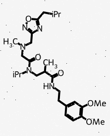 COc1ccc(CCNC(=O)C(C)CN(C(=O)CN(C)Cc2noc(CC(C)C)n2)C(C)C)cc1OC